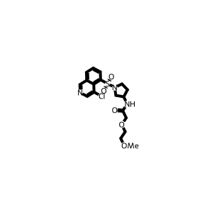 COCCOCC(=O)NC1CCN(S(=O)(=O)c2cccc3cncc(Cl)c23)C1